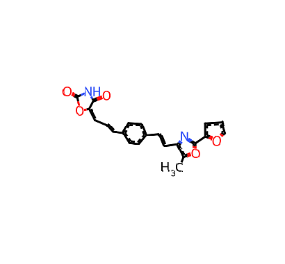 Cc1oc(-c2ccco2)nc1/C=C/c1ccc(C=CC=C2OC(=O)NC2=O)cc1